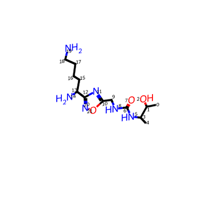 CC(O)C(C)NC(=O)NCc1nc(C(N)CCCCN)no1